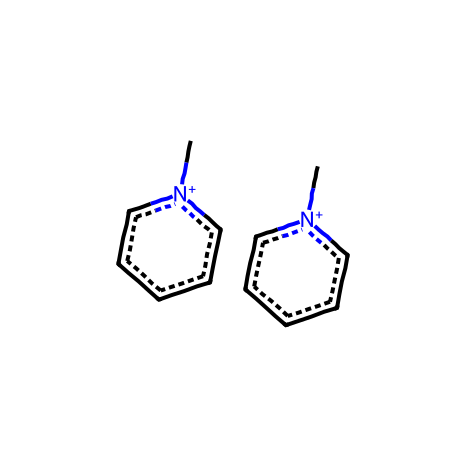 C[n+]1ccccc1.C[n+]1ccccc1